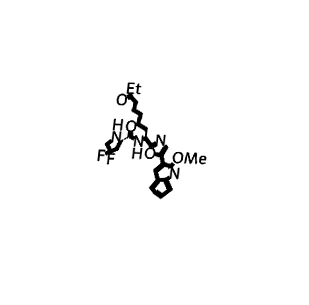 CCC(=O)CCCCC[C@H](NC(=O)[C@@H]1CC(F)(F)CN1)c1ncc(-c2cc3ccccc3nc2OC)o1